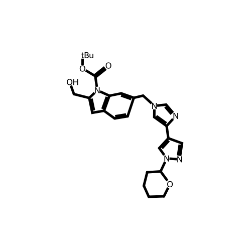 CC(C)(C)OC(=O)n1c(CO)cc2ccc(Cn3cnc(-c4cnn(C5CCCCO5)c4)c3)cc21